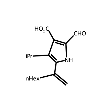 C=C(CCCCCC)c1[nH]c(C=O)c(C(=O)O)c1C(C)C